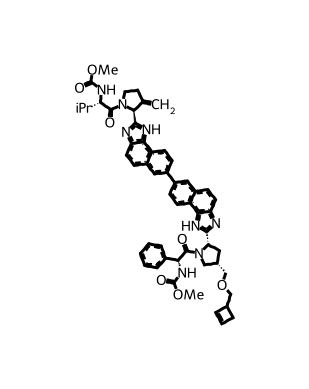 C=C1CCN(C(=O)[C@@H](NC(=O)OC)C(C)C)[C@@H]1c1nc2ccc3cc(-c4ccc5c(ccc6nc([C@@H]7C[C@H](COCC8C=CC8)CN7C(=O)[C@H](NC(=O)OC)c7ccccc7)[nH]c65)c4)ccc3c2[nH]1